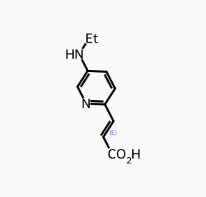 CCNc1ccc(/C=C/C(=O)O)nc1